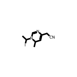 CC(I)N1C=NC(CC#N)=CC1C